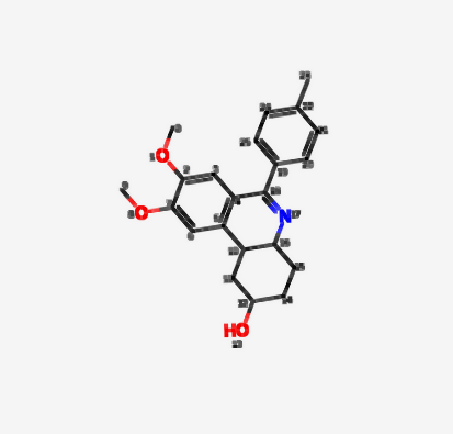 COc1cc2c(cc1OC)C1CC(O)CCC1N=C2c1ccc(C)cc1